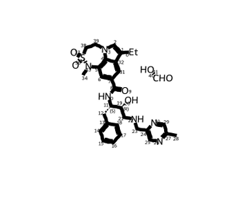 CCc1cn2c3c(cc(C(=O)N[C@@H](Cc4ccccc4)[C@H](O)CNCc4cnc(C)cn4)cc13)N(C)S(=O)(=O)CC2.O=CO